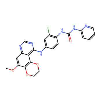 COc1cc2ncnc(Nc3ccc(NC(=O)Nc4ccccn4)c(Cl)c3)c2c2c1OCCO2